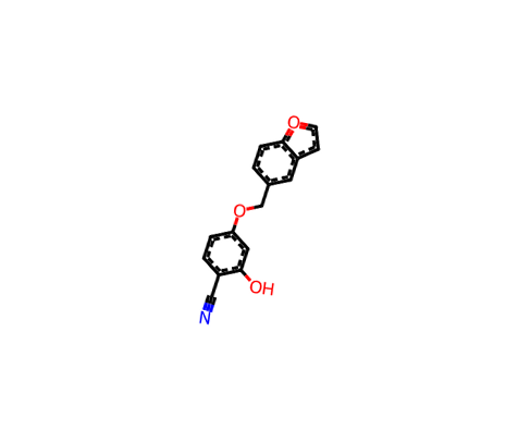 N#Cc1ccc(OCc2ccc3occc3c2)cc1O